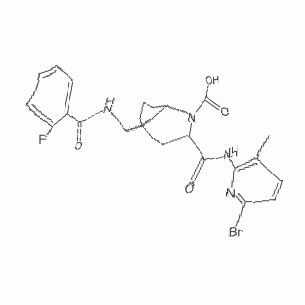 Cc1ccc(Br)nc1NC(=O)C1CC2(CNC(=O)c3ccccc3F)CC2N1C(=O)O